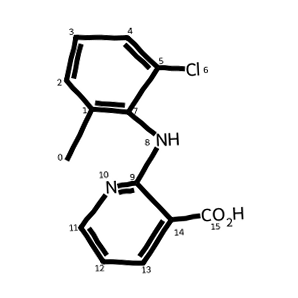 Cc1cccc(Cl)c1Nc1ncccc1C(=O)O